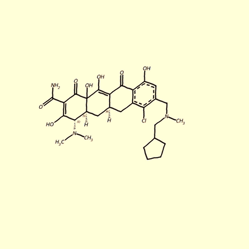 CN(Cc1cc(O)c2c(c1Cl)C[C@H]1C[C@H]3[C@H](N(C)C)C(O)=C(C(N)=O)C(=O)C3(O)C(O)=C1C2=O)CC1CCCC1